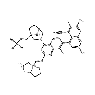 [2H]C([2H])([2H])OCC12CCC(CN(c3nc(OC[C@@]45CCCN4C[C@H](F)C5)nc4c(F)c(-c5cc(O)cc6cc(C)c(F)c(C#C)c56)ncc34)C1)N2